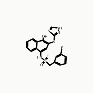 O=S(=O)(Cc1cccc(F)c1)Nc1cc(Sc2nc[nH]n2)c(O)c2ccccc12